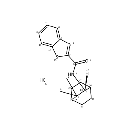 CC1(C)[C@H](NC(=O)c2nc3ccccc3s2)C2CCN1CC2.Cl